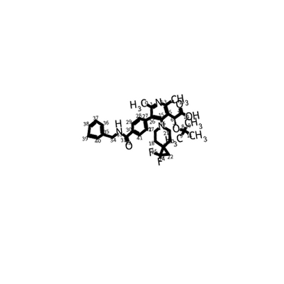 Cc1nc(C)c([C@H](OC(C)(C)C)C(=O)O)c(N2CCC3(CC2)CC3(F)F)c1-c1ccc(C(=O)NCc2ccccc2)cc1